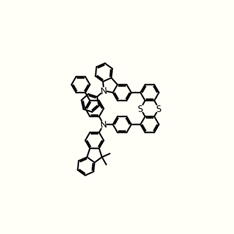 CC1(C)c2ccccc2-c2ccc(N(c3ccc(-c4ccccc4)cc3)c3ccc(-c4cccc5c4Sc4c(cccc4-c4ccc6c(c4)c4ccccc4n6-c4ccccc4)S5)cc3)cc21